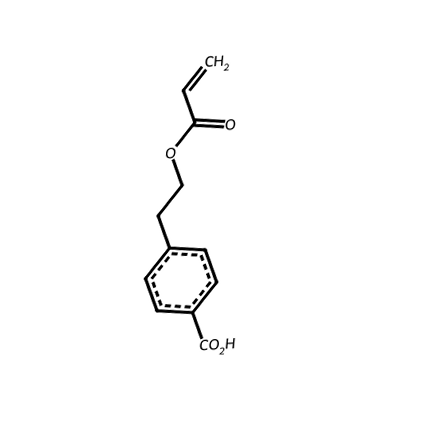 C=CC(=O)OCCc1ccc(C(=O)O)cc1